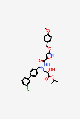 COc1ccc(COc2cc(C(=O)NN(Cc3ccc(-c4cccc(Cl)c4)cc3)C[C@@H](O)C(=O)OC(C)C)on2)cc1